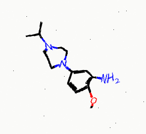 COc1ccc(N2CCN(C(C)C)CC2)cc1N